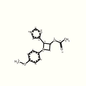 COc1ccc(N2CC(OC(C)=O)C2c2cnco2)cc1